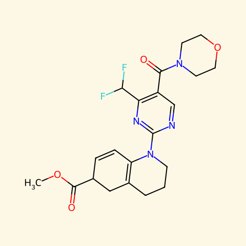 COC(=O)C1C=CC2=C(CCCN2c2ncc(C(=O)N3CCOCC3)c(C(F)F)n2)C1